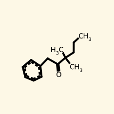 CCCC(C)(C)C(=O)Cc1ccccc1